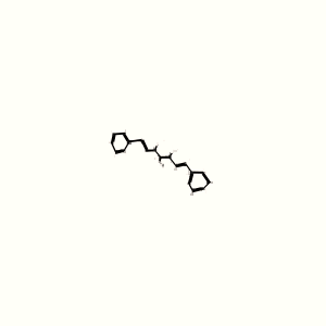 OC(C=Cc1ccccc1)C(O)C(O)C=Cc1ccccc1